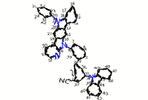 N#Cc1cc(-c2cccc(-n3c4cc5c6ccccc6n(-c6ccccc6)c5cc4c4cccnc43)c2)cc(-n2c3ccccc3c3ccccc32)c1